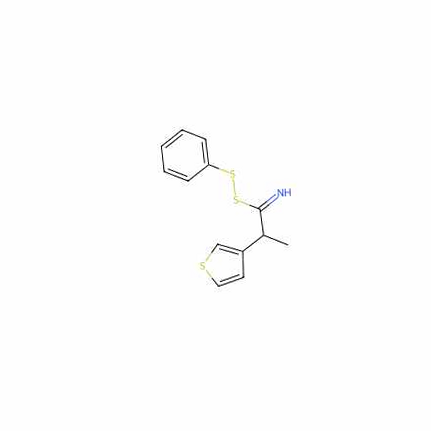 CC(C(=N)SSc1ccccc1)c1ccsc1